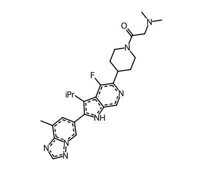 Cc1cc(-c2[nH]c3cnc(C4CCN(C(=O)CN(C)C)CC4)c(F)c3c2C(C)C)cn2ncnc12